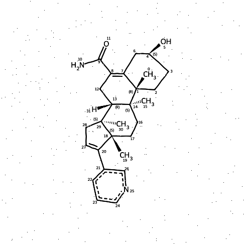 C[C@]12CC[C@H](O)CC1=C(C(N)=O)C[C@@H]1[C@]2(C)CC[C@]2(C)C(c3cccnc3)=CC[C@@]12C